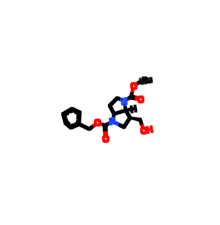 CC(C)(C)OC(=O)N1CCC2[C@H]1[C@@H](CO)CN2C(=O)OCc1ccccc1